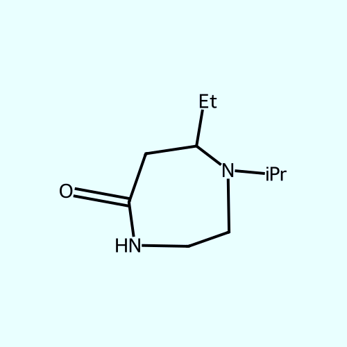 CCC1CC(=O)NCCN1C(C)C